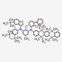 Cc1cc(N(c2ccc3c(c2)C(C)(C)CCC3(C)C)c2csc3ccc(C(C)(C)C)cc23)c(Cl)c(N(c2ccc3c(c2)C(C)(C)c2cc4c(cc2C3(C)C)C(C)(C)c2ccccc2C4(C)C)c2cccc3c2oc2ccccc23)c1